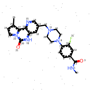 CNC(=O)c1ccc(N2CCN(Cc3cnc4c(c3)[nH]c(=O)n3ccc(C)c43)CC2)c(F)c1